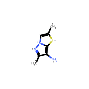 Cc1cn2nc(C)c(N)c2s1